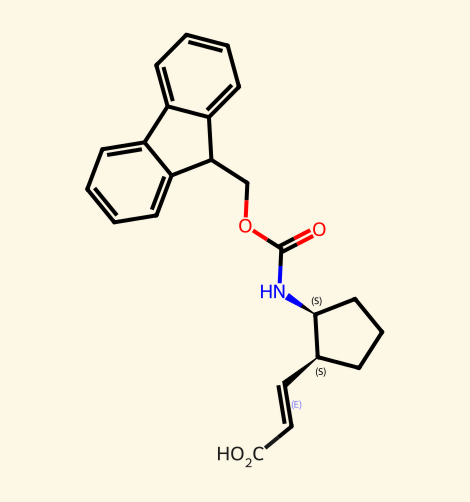 O=C(O)/C=C/[C@@H]1CCC[C@@H]1NC(=O)OCC1c2ccccc2-c2ccccc21